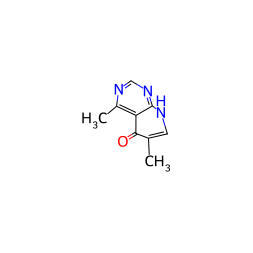 Cc1c[nH]c2ncnc(C)c2c1=O